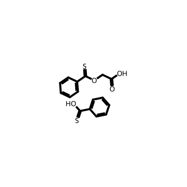 O=C(O)COC(=S)c1ccccc1.OC(=S)c1ccccc1